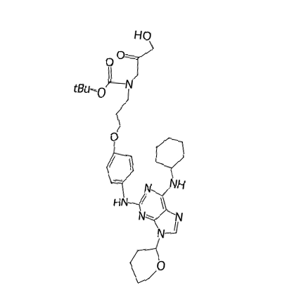 CC(C)(C)OC(=O)N(CCCOc1ccc(Nc2nc(NC3CCCCC3)c3ncn(C4CCCCO4)c3n2)cc1)CC(=O)CO